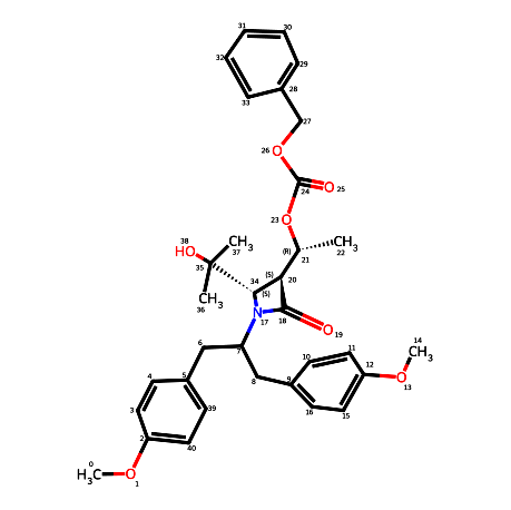 COc1ccc(CC(Cc2ccc(OC)cc2)N2C(=O)[C@H]([C@@H](C)OC(=O)OCc3ccccc3)[C@H]2C(C)(C)O)cc1